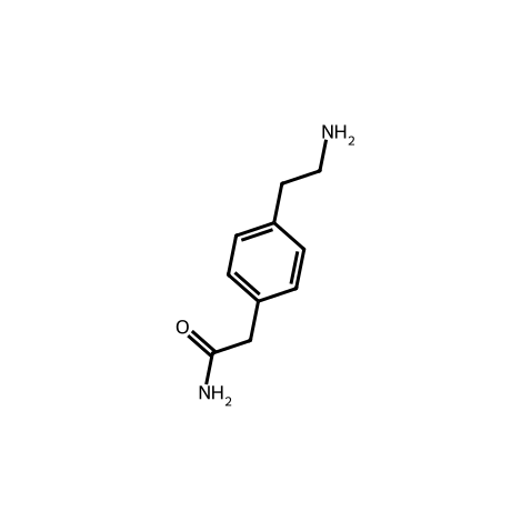 NCCc1ccc(CC(N)=O)cc1